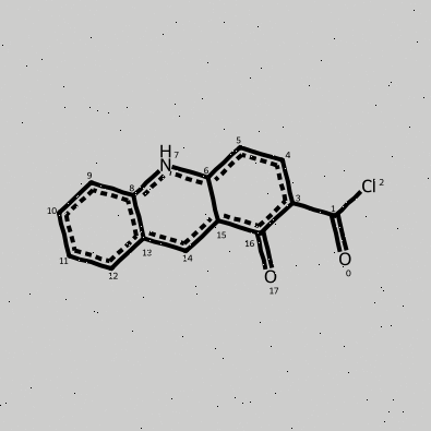 O=C(Cl)c1ccc2[nH]c3ccccc3cc-2c1=O